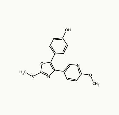 COc1ccc(-c2nc(SC)oc2-c2ccc(O)cc2)cn1